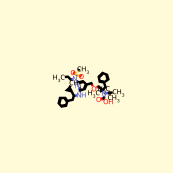 CCCN(c1cc(COCC(C)(Cc2ccccc2)N(C(=O)O)C(C)(C)C)cc(NC(Cc2ccccc2)C2CC2C)n1)S(C)(=O)=O